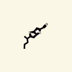 [CH2]CCC(C)c1cc2sc(C#N)cc2s1